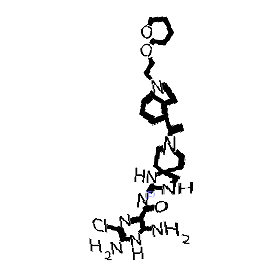 C=C(c1cccc2c1ccn2CCOC1CCCCO1)N1CCC2(CC1)CN/C(=N\C(=O)C1=NC(Cl)=C(N)NC1N)N2